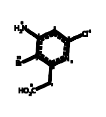 Nc1cc(Cl)nc(CC(=O)O)c1Br